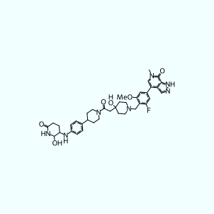 COc1cc(-c2cn(C)c(=O)c3[nH]ncc23)cc(F)c1CN1CCC(O)(CC(=O)N2CCC(c3ccc(NC4CCC(=O)NC4O)cc3)CC2)CC1